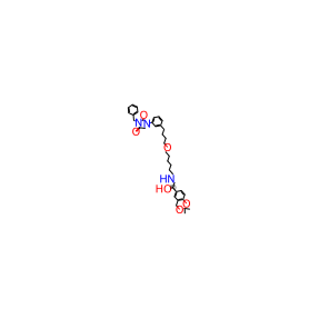 CC1(C)OCc2cc([C@@H](O)CNCCCCCCOCCCCc3cccc(N4CC(=O)N(Cc5ccccc5)C4=O)c3)ccc2O1